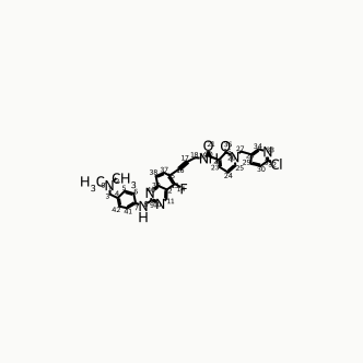 CN(C)Cc1ccc(Nc2ncc3c(F)c(C#CCNC(=O)c4cccn(Cc5ccc(Cl)nc5)c4=O)ccc3n2)cc1